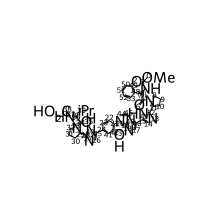 COC(=O)N[C@@H](C(=O)N1CCCC1c1ncc(-c2cnc3n(-c4ccc(-c5cnc(C6CCCN6C(=O)[C@@H](NC(=O)O)C(C)C)[nH]5)cc4O)ccn23)[nH]1)c1ccccc1